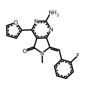 CN1C(=O)c2c(nc(N)nc2-c2ccco2)/C1=C/c1ccccc1F